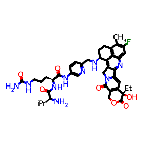 CC[C@@]1(O)C(=O)OCc2c1cc1n(c2=O)Cc2c-1nc1cc(F)c(C)c3c1c2[C@@H](NCc1ccc(NC(=O)[C@H](CCCNC(N)=O)NC(=O)[C@@H](N)C(C)C)cn1)CC3